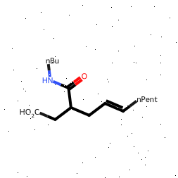 CCCCC/C=C/CC(CC(=O)O)C(=O)NCCCC